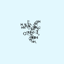 C[C@H](N)C(=O)N[C@@H](Cc1c[nH]cn1)C(=O)N[C@@H](Cc1c[nH]cn1)C(=O)N[C@@H](CCCNC(=N)N)C(=O)N1CCC[C@H]1C(=O)N[C@@H](Cc1c[nH]c2ccccc12)C(=O)N[C@H](C(N)=O)[C@@H](C)O